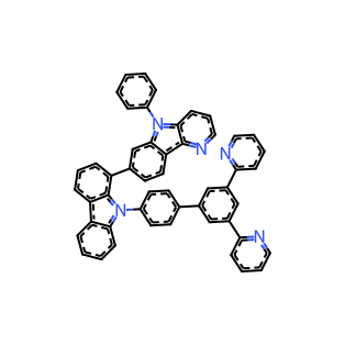 c1ccc(-n2c3cc(-c4cccc5c6ccccc6n(-c6ccc(-c7cc(-c8ccccn8)cc(-c8ccccn8)c7)cc6)c45)ccc3c3ncccc32)cc1